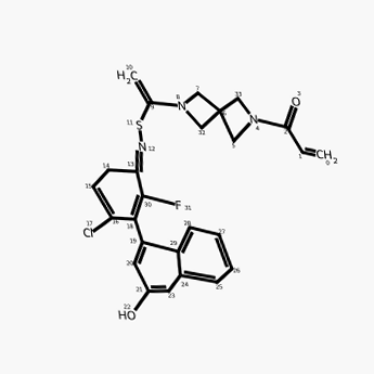 C=CC(=O)N1CC2(CN(C(=C)S/N=C3\CC=C(Cl)C(c4cc(O)cc5ccccc45)=C3F)C2)C1